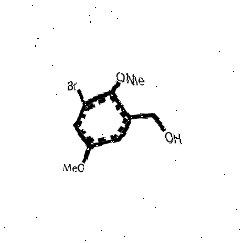 COc1cc(Br)c(OC)c(CO)c1